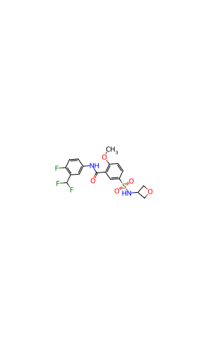 COc1ccc(S(=O)(=O)NC2COC2)cc1C(=O)Nc1ccc(F)c(C(F)F)c1